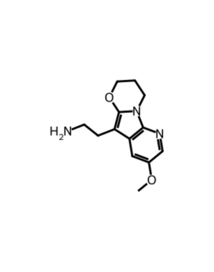 COc1cnc2c(c1)c(CCN)c1n2CCCO1